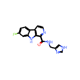 O=C(NCc1c[nH]cn1)c1nccc2c1[nH]c1cc(F)ccc12